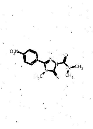 CN(C)C(=O)n1nc(-c2ccc([N+](=O)[O-])cc2)n(C)c1=S